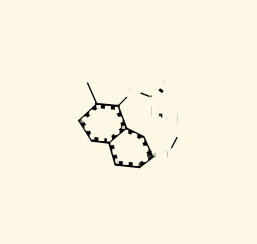 CCCC.Cc1ccc2ccccc2c1O[PH](=O)O